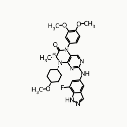 COc1ccc(N2C(=O)[C@@H](C)N([C@H]3CC[C@H](OC)CC3)c3nc(Nc4cc(F)c5[nH]ncc5c4)ncc32)cc1OC